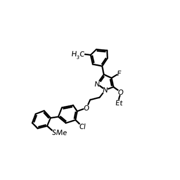 CCOc1c(F)c(-c2cccc(C)c2)nn1CCOc1ccc(-c2ccccc2SC)cc1Cl